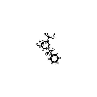 COC(=O)[C@H]1CN(S(=O)(=O)c2ccccc2)C[C@@H](C)N1